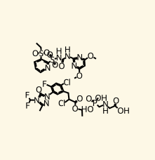 CCOC(=O)C(Cl)Cc1cc(-n2nc(C)n(C(F)F)c2=O)c(F)cc1Cl.CCS(=O)(=O)c1cccnc1S(=O)(=O)NC(=O)Nc1nc(OC)cc(OC)n1.O=C(O)CNCP(=O)(O)O